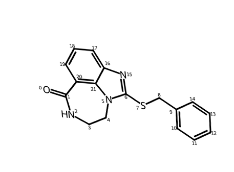 O=C1NCCn2c(SCc3ccccc3)nc3cccc1c32